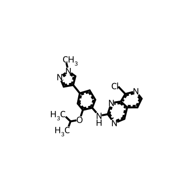 CC(C)Oc1cc(-c2cnn(C)c2)ccc1Nc1ncc2ccnc(Cl)c2n1